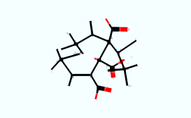 CC(C(C(=O)O)C(O)(C(=O)O)C(C(=O)O)(C(C)C(C)(C)C)C(C)C(C)(C)C)C(C)(C)C